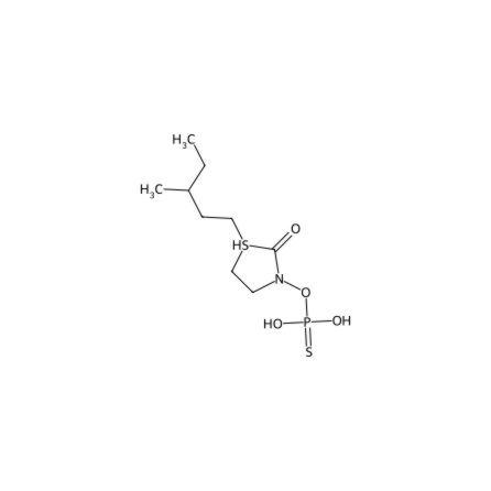 CCC(C)CC[SH]1CCN(OP(O)(O)=S)C1=O